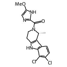 COc1cnc(C(=O)N2CCc3[nH]c4c(Cl)c(Cl)ccc4c3[C@H]2C)[nH]1